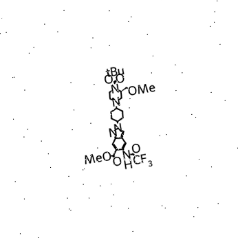 COC[C@H]1CN(C2CCC(n3cc4cc(NC(=O)C(F)(F)F)c(C(=O)OC)cc4n3)CC2)CCN1C(=O)OC(C)(C)C